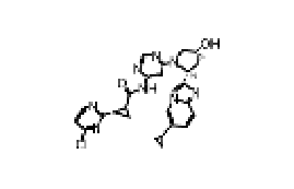 O=C(Nc1cc(N2C[C@@H](O)C[C@@H]2c2cn3cc(C4CC4)ccc3n2)ncn1)C1CC1c1nccc(Cl)n1